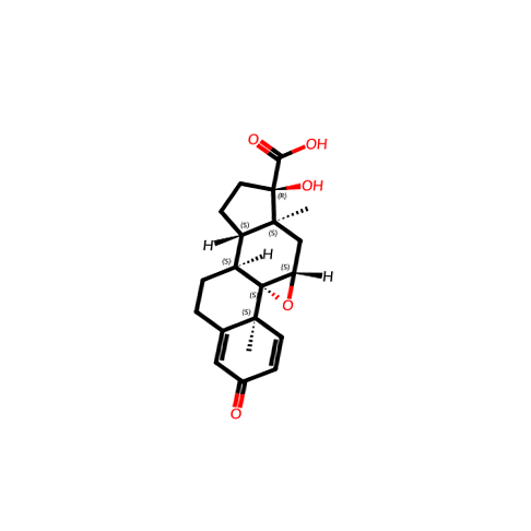 C[C@]12C=CC(=O)C=C1CC[C@H]1[C@@H]3CC[C@](O)(C(=O)O)[C@@]3(C)C[C@@H]3O[C@@]312